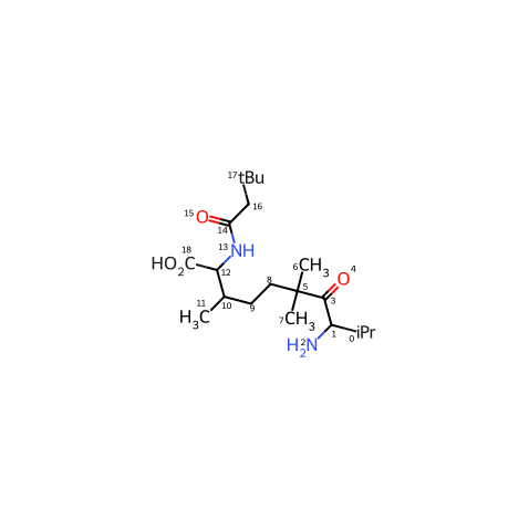 CC(C)C(N)C(=O)C(C)(C)CCC(C)C(NC(=O)CC(C)(C)C)C(=O)O